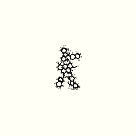 CCC1CC(N(C2CCC3C=CCCC3C2)C2CCCC3=C2C(C)(C)C2C=CC=CC32)=C2CC3C4=C(C=C(N(c5ccc6c(c5)C=CCC6)C5C6C7C(CC[C@H]65)c5ccccc5C7(C)C)C5CCC1=C2C45)CCC3(C)C